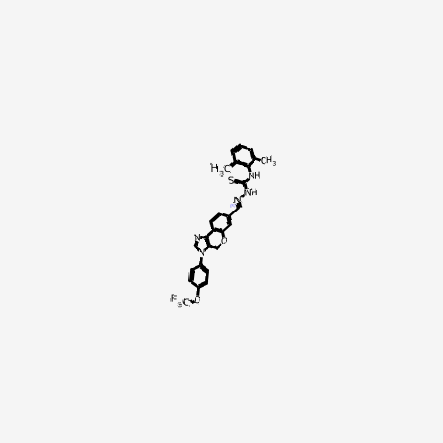 Cc1cccc(C)c1NC(=S)N/N=C/c1ccc2c(c1)OCc1c-2ncn1-c1ccc(OC(F)(F)F)cc1